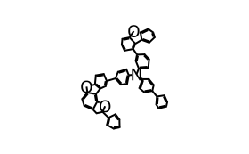 c1ccc(-c2ccc(N(c3ccc(-c4ccc5oc6ccc7c(c6c5c4)OC(c4ccccc4)C7)cc3)c3cccc(-c4cccc5oc6ccccc6c45)c3)cc2)cc1